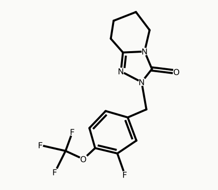 O=c1n(Cc2ccc(OC(F)(F)F)c(F)c2)nc2n1CCCC2